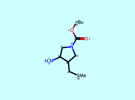 CCCCOC(=O)N1CC(N)C(CSC)C1